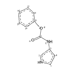 O=C(Nc1cc[nH]c1)Oc1ccccc1